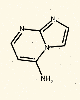 Nc1ccnc2nccn12